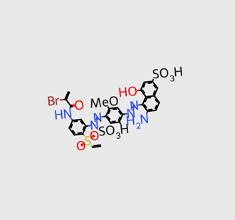 C=CS(=O)(=O)c1ccc(NC(=O)C(=C)Br)cc1/N=N/c1cc(S(=O)(=O)O)c(/N=N/c2c(N)ccc3cc(S(=O)(=O)O)cc(O)c23)cc1OC